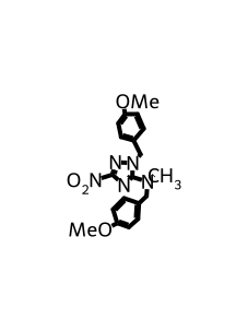 COc1ccc(CN(C)c2nc([N+](=O)[O-])nn2Cc2ccc(OC)cc2)cc1